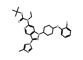 CCN(C(=O)OC(C)(C)C)c1cc2c(cn1)c(-n1cnc(C)c1)nn2C1CCC(Oc2ccccc2F)CC1